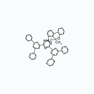 CC1(C)Oc2ccccc2-c2cccc(-c3nc(-c4cc(-c5ccccc5)cc(-c5ccccc5)c4)nc(-c4cc(-c5ccccc5)cc(-c5ccccc5)c4)n3)c21